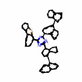 c1ccc2c(-c3ccc(-c4nc(-c5ccc(-c6cccc7ccccc67)c6ccccc56)nc(-c5cccc6c5sc5ccccc56)n4)c4ccccc34)cccc2c1